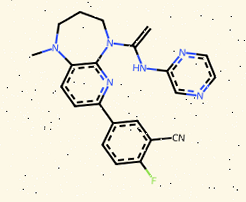 C=C(Nc1cnccn1)N1CCCN(C)c2ccc(-c3ccc(F)c(C#N)c3)nc21